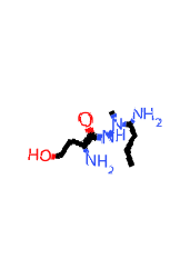 CCCC(N)N(C)NC(=O)C(N)CCO